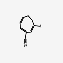 N#CC1=C/C=C\CC/C(I)=C\1